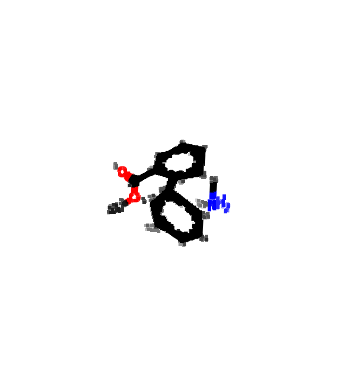 CC(C)(C)OC(=O)c1ccccc1-c1ccccc1.CN